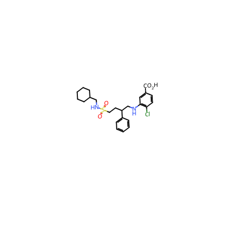 O=C(O)c1ccc(Cl)c(NCC(CCS(=O)(=O)NCC2CCCCC2)c2ccccc2)c1